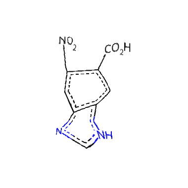 O=C(O)c1cc2[nH]cnc2cc1[N+](=O)[O-]